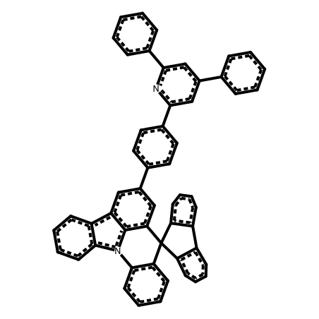 c1ccc(-c2cc(-c3ccccc3)nc(-c3ccc(-c4cc5c6c(c4)c4ccccc4n6-c4ccccc4C54c5ccccc5-c5ccccc54)cc3)c2)cc1